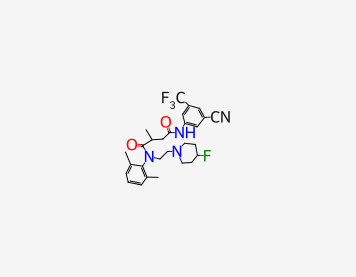 Cc1cccc(C)c1N(CCN1CCC(F)CC1)C(=O)C(C)CC(=O)Nc1cc(C#N)cc(C(F)(F)F)c1